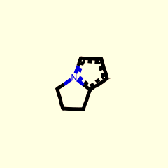 [c]1ccn2c1CCC2